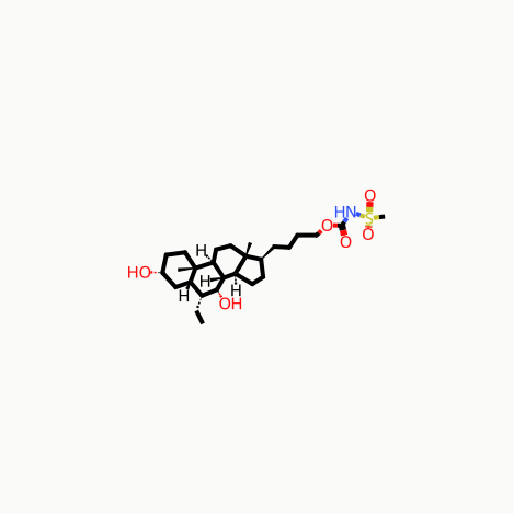 CC[C@H]1[C@@H](O)[C@@H]2[C@H](CC[C@]3(C)[C@@H](CCCCOC(=O)NS(C)(=O)=O)CC[C@@H]23)[C@@]2(C)CC[C@@H](O)C[C@@H]12